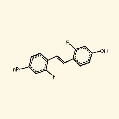 CCCc1ccc(/C=C/c2ccc(O)cc2F)c(F)c1